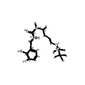 CC(CC=CO[Si](C)(C)C(C)(C)C)N(C)C(=O)NCc1cccc(F)c1F